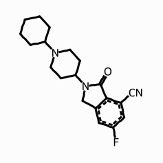 N#Cc1cc(F)cc2c1C(=O)N(C1CCN(C3CCCCC3)CC1)C2